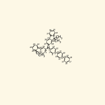 CC12CC=C(N(c3ccc(-c4ccc(-c5ccccc5)cc4)cc3)c3ccc4c(c3)C(C)(C)c3ccccc3-4)C=C1c1ccccc1O2